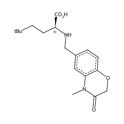 CN1C(=O)COc2ccc(CN[C@@H](CCC(C)(C)C)C(=O)O)cc21